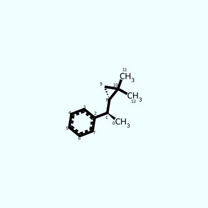 C[C@@H](c1ccccc1)[C@@H]1CC1(C)C